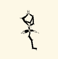 CCCCS(=O)(=O)N1CC2CC1CN2